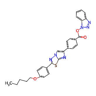 CCCCCOc1ccc(-c2nn3cc(-c4ccc(C(=O)On5nnc6ccccc65)cc4)nc3s2)cc1